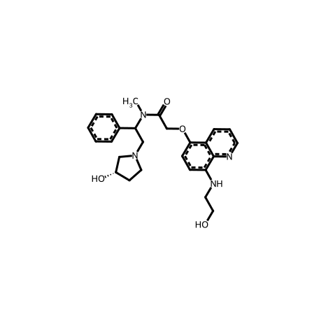 CN(C(=O)COc1ccc(NCCO)c2ncccc12)C(CN1CC[C@H](O)C1)c1ccccc1